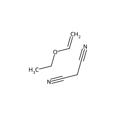 C=COCC.N#CCC#N